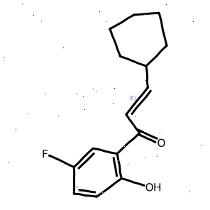 O=C(/C=C/C1CCCCC1)c1cc(F)ccc1O